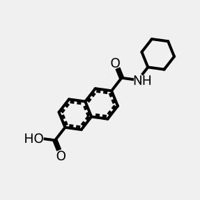 O=C(O)c1ccc2cc(C(=O)NC3CCCCC3)ccc2c1